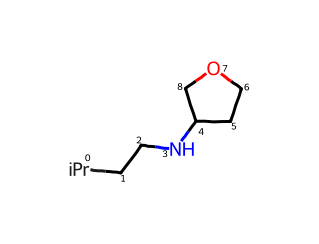 CC(C)CCNC1CCOC1